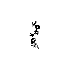 CC1(C)[C@H](c2ccc(S(N)(=O)=O)cn2)[C@H]1c1nc(-c2cccc(C(F)(F)F)c2)no1